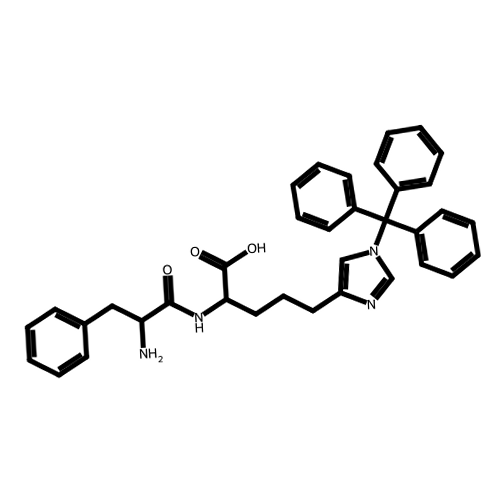 NC(Cc1ccccc1)C(=O)NC(CCCc1cn(C(c2ccccc2)(c2ccccc2)c2ccccc2)cn1)C(=O)O